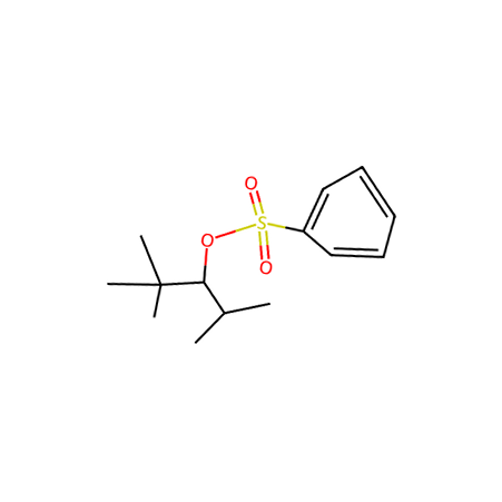 CC(C)C(OS(=O)(=O)c1ccccc1)C(C)(C)C